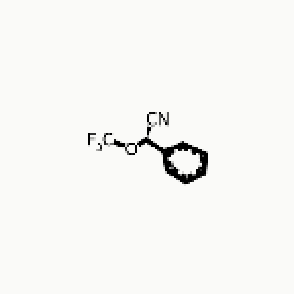 N#C[C@H](OC(F)(F)F)c1ccccc1